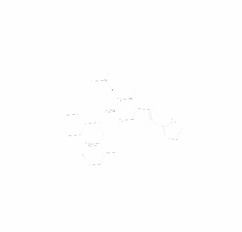 COc1cccnc1[C@@H](Cn1c(=O)n(C(C)(C)C(=O)O)c(=O)c2c(C)c(-c3ncco3)sc21)OC1CCOCC1